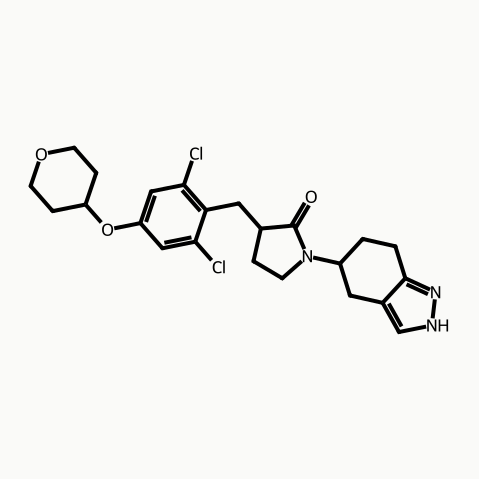 O=C1C(Cc2c(Cl)cc(OC3CCOCC3)cc2Cl)CCN1C1CCc2n[nH]cc2C1